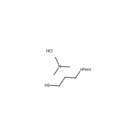 CCCCCCCCS.CN(C)C.Cl